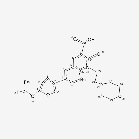 O=C(O)c1cc2cc(-c3ccc(OC(F)F)cc3)cnc2n(CCN2CCOCC2)c1=O